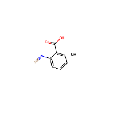 O=C(O)c1ccccc1N=S.[LiH]